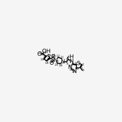 Cc1csc2c(NC(C)CN3CCN(S(=O)(=O)c4ccc(C(=O)O)s4)CC3)ncnc12